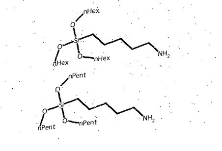 CCCCCCO[Si](CCCCCN)(OCCCCCC)OCCCCCC.CCCCCO[Si](CCCCCN)(OCCCCC)OCCCCC